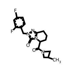 CC1CN(C(=O)C2CCCc3nn(Cc4ccc(F)cc4F)c(=O)n32)C1